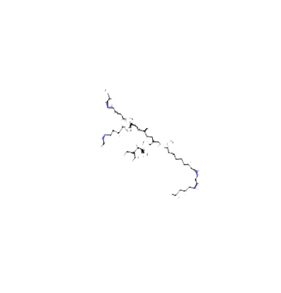 C=C(CCC(COC(=O)CCCCCCC/C=C\C/C=C\CCCCC)COC(=O)CC(CC)CC)CCC(OCCCC/C=C\CC)OCCCC/C=C\CC